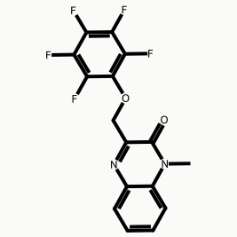 Cn1c(=O)c(COc2c(F)c(F)c(F)c(F)c2F)nc2ccccc21